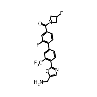 NCc1cnc(-c2ccc(-c3ccc(C(=O)N4CC(F)C4)cc3F)cc2C(F)(F)F)o1